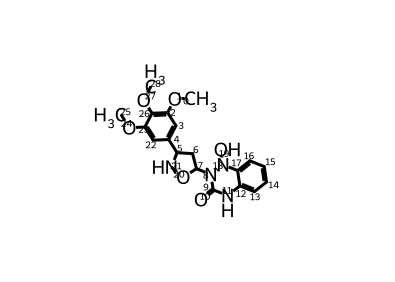 COc1cc(C2CC(N3C(=O)Nc4ccccc4N3O)ON2)cc(OC)c1OC